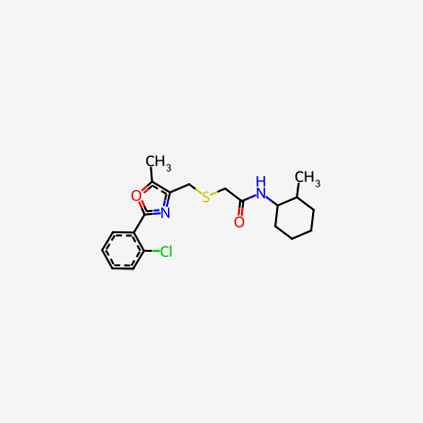 Cc1oc(-c2ccccc2Cl)nc1CSCC(=O)NC1CCCCC1C